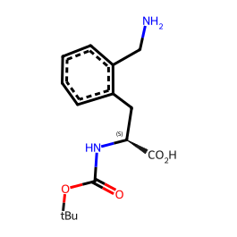 CC(C)(C)OC(=O)N[C@@H](Cc1ccccc1CN)C(=O)O